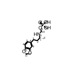 C[C@H](CCc1ccc2c(c1)OCO2)NCOP(=O)(O)O